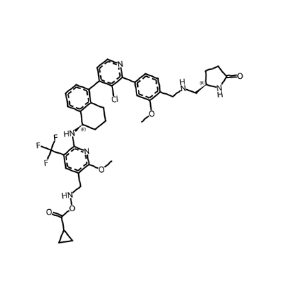 COc1cc(-c2nccc(-c3cccc4c3CCC[C@H]4Nc3nc(OC)c(CNOC(=O)C4CC4)cc3C(F)(F)F)c2Cl)ccc1CNC[C@H]1CCC(=O)N1